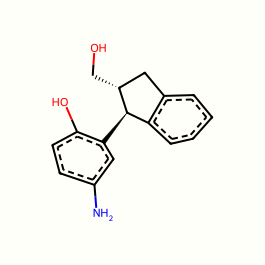 Nc1ccc(O)c([C@@H]2c3ccccc3C[C@H]2CO)c1